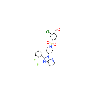 O=Cc1ccc(S(=O)(=O)N2CCC(n3c(-c4ccccc4C(F)(F)F)nc4cccnc43)CC2)cc1Cl